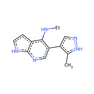 CCNc1c(-c2cn[nH]c2C)cnc2[nH]ccc12